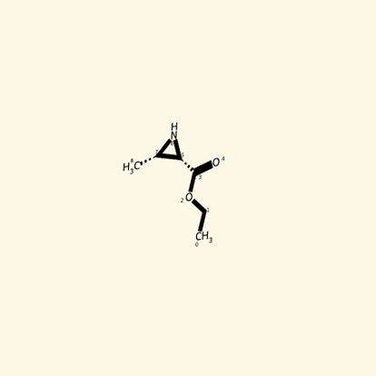 CCOC(=O)[C@H]1N[C@H]1C